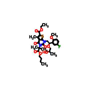 CCCCOC(=O)C(C)(C)n1c(=O)c2c(C)c(C(=O)OCC)sc2n(C[C@H](OCC(C)O)c2cc(F)ccc2OC)c1=O